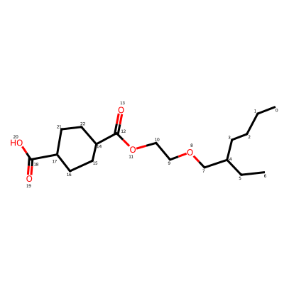 CCCCC(CC)COCCOC(=O)C1CCC(C(=O)O)CC1